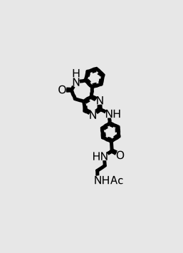 CC(=O)NCCNC(=O)c1ccc(Nc2ncc3c(n2)-c2ccccc2NC(=O)C3)cc1